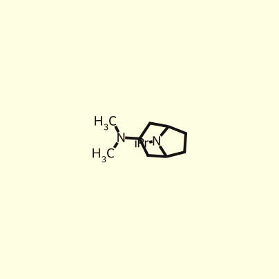 CC(C)N1C2CCC1CC(N(C)C)C2